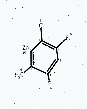 Fc1cc(F)c(C(F)(F)F)cc1Cl.[Zn]